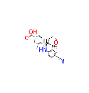 Cc1cc(C(=O)O)ccc1[C@H]1Nc2ccc(C#N)cc2[C@@H]2OCCC[C@H]12